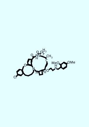 COc1ccc(CNCCO[C@H]2/C=C/C[C@H](C)[C@@H](C)S(=O)(=O)NC(=O)c3ccc4c(c3)N(CCCCc3cc(Cl)ccc3CO4)C[C@@H]3CC[C@H]32)c(OC)c1